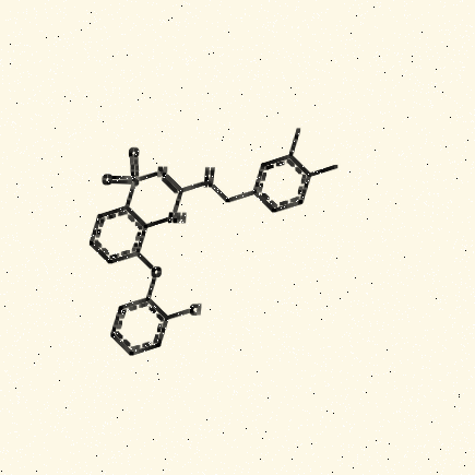 Cc1ccc(CNC2=NS(=O)(=O)c3cccc(Oc4ccccc4Cl)c3N2)cc1C